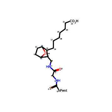 CCCCCC(=S)NCC(=O)NCC1C2CCC(O2)C1CCCCCCC(=O)O